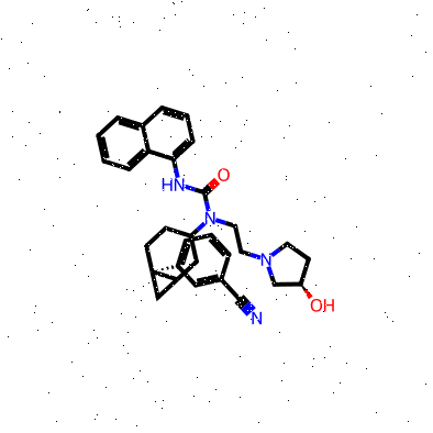 N#Cc1cccc([C@]23CCC(N(CCN4CC[C@@H](O)C4)C(=O)Nc4cccc5ccccc45)CC2C3)c1